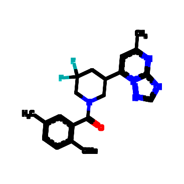 COc1ccc(C)cc1C(=O)N1CC(c2cc(C)nc3ncnn23)CC(F)(F)C1